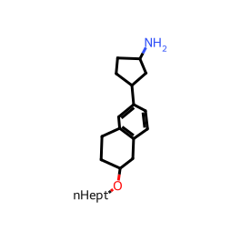 CCCCCCCOC1CCc2cc(C3CCC(N)C3)ccc2C1